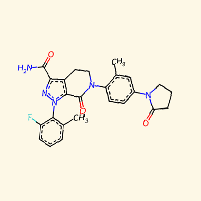 Cc1cc(N2CCCC2=O)ccc1N1CCc2c(C(N)=O)nn(-c3c(C)cccc3F)c2C1=O